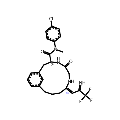 CN(C(=O)[C@@H]1Cc2cccc(c2)CCC/C(=C/C(=N)C(F)(F)F)NCC(=O)N1)c1ccc(Cl)cc1